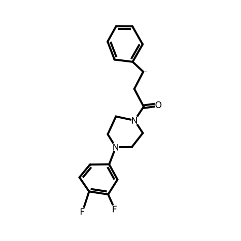 O=C(C[CH]c1ccccc1)N1CCN(c2ccc(F)c(F)c2)CC1